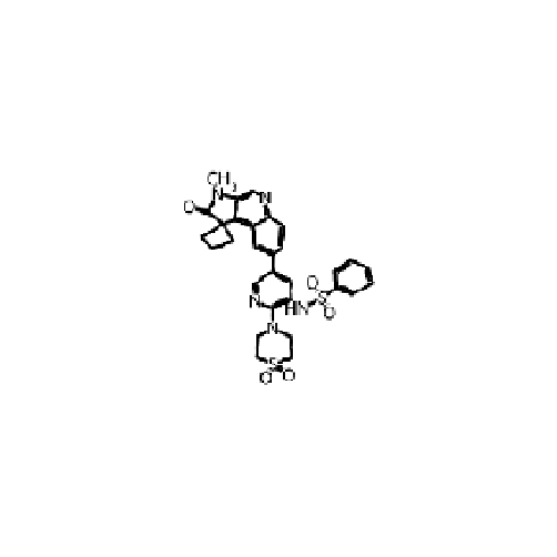 CN1C(=O)C2(CCC2)c2c1cnc1ccc(-c3cnc(N4CCS(=O)(=O)CC4)c(NS(=O)(=O)c4ccccc4)c3)cc21